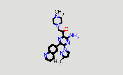 Cc1ccn(-c2nc(N)c(C(=O)CN3CCN(C)CC3)nc2-c2ccc3ncccc3c2)n1